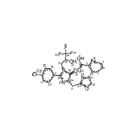 O=C(O)c1ncccc1-n1cnc(Cn2nc(-c3ccc(Cl)cc3)n(CC(O)C(F)(F)F)c2=O)n1